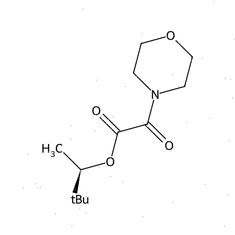 C[C@@H](OC(=O)C(=O)N1CCOCC1)C(C)(C)C